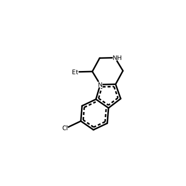 CCC1CNCc2cc3ccc(Cl)cc3n21